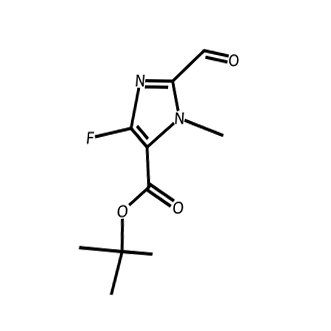 Cn1c(C=O)nc(F)c1C(=O)OC(C)(C)C